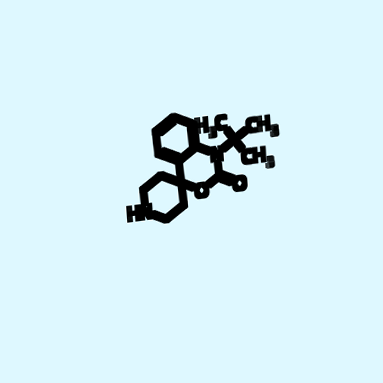 CC(C)(C)N1C(=O)OC2(CCNCC2)c2ccccc21